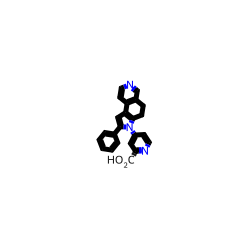 O=C(O)c1cc(-n2c(-c3ccccc3)cc3c2CCc2cnccc2-3)ccn1